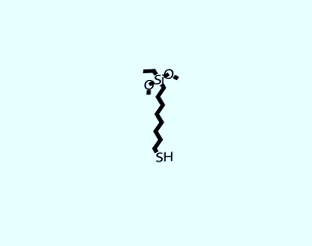 CC[Si](CCCCCCCCS)(OC)OC